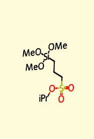 CO[Si](CCCS(=O)(=O)OC(C)C)(OC)OC